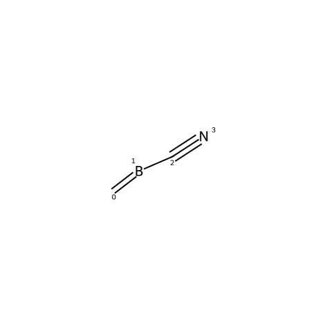 C=BC#N